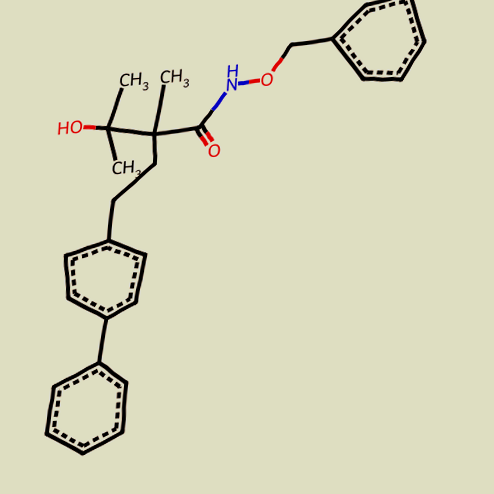 CC(C)(O)C(C)(CCc1ccc(-c2ccccc2)cc1)C(=O)NOCc1ccccc1